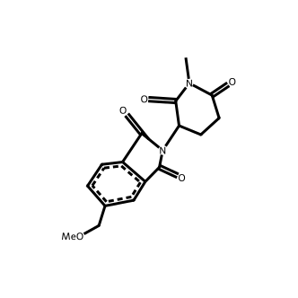 COCc1ccc2c(c1)C(=O)N(C1CCC(=O)N(C)C1=O)C2=O